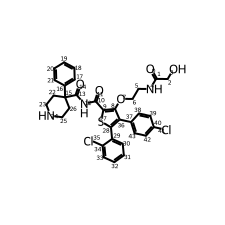 O=C(CO)NCCOc1c(C(=O)NC(=O)C2(c3ccccc3)CCNCC2)sc(-c2ccccc2Cl)c1-c1ccc(Cl)cc1